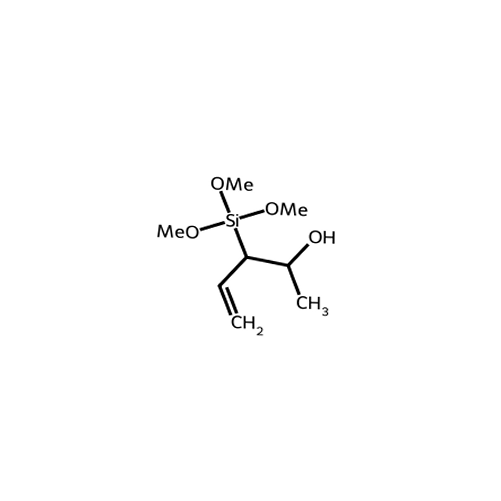 C=CC(C(C)O)[Si](OC)(OC)OC